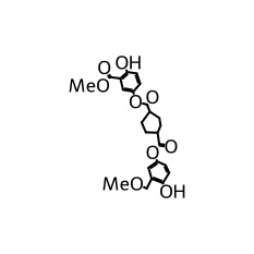 COCc1cc(OC(=O)C2CCC(C(=O)Oc3ccc(O)c(C(=O)OC)c3)CC2)ccc1O